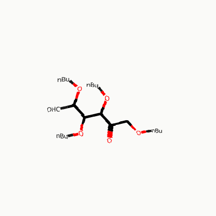 CCCCOCC(=O)C(OCCCC)C(OCCCC)C(C=O)OCCCC